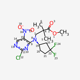 COC(=O)C(C)(C)CN(c1nc(Cl)ncc1[N+](=O)[O-])[C@@H]1CCC(F)(F)C1